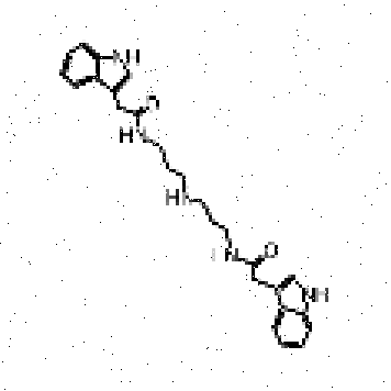 O=C(Cc1c[nH]c2ccccc12)NCCCNCCCNC(=O)Cc1c[nH]c2ccccc12